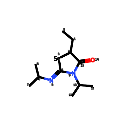 CCC1[Se]/C(=N\C(C)C)N(C(C)C)C1=O